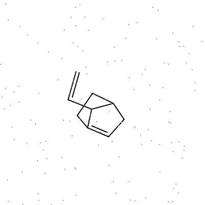 C=CC1C2=CCC1CC2